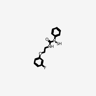 O=C(NCCOc1cccc(F)c1)N(S)c1cc[c]cc1